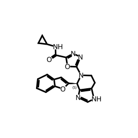 O=C(NC1CC1)c1nnc(N2CCc3[nH]cnc3[C@H]2c2cc3ccccc3o2)o1